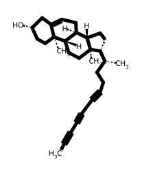 CC#CC#CC#CCC[C@@H](C)[C@H]1CC[C@H]2[C@@H]3CC=C4C[C@@H](O)CC[C@]4(C)[C@H]3CC[C@]12C